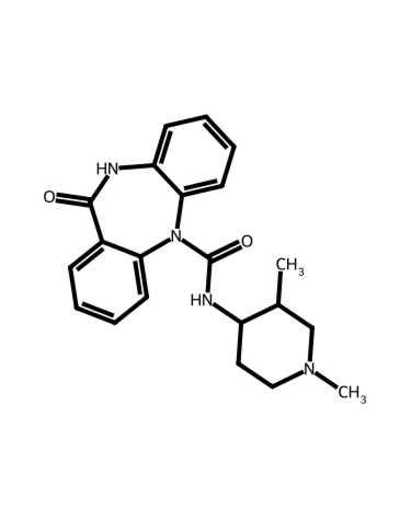 CC1CN(C)CCC1NC(=O)N1c2ccccc2NC(=O)c2ccccc21